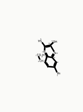 CC(=O)O.CC(C)c1ccc2nc(S)c(S)nc2c1